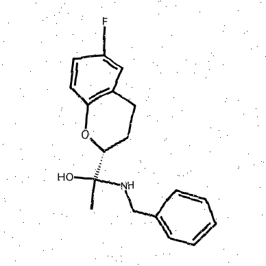 CC(O)(NCc1ccccc1)[C@H]1CCc2cc(F)ccc2O1